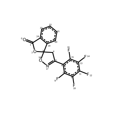 O=C1OC2(CC(c3c(F)c(F)c(F)c(F)c3F)=NO2)c2ccccc21